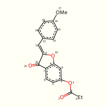 CCC(=O)Oc1ccc2c(c1)O/C(=C\c1ccc(OC)cc1)C2=O